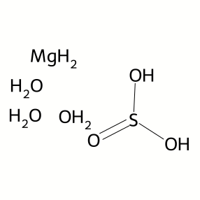 O.O.O.O=S(O)O.[MgH2]